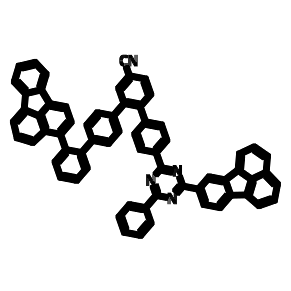 N#Cc1ccc(-c2ccc(-c3nc(-c4ccccc4)nc(-c4ccc5c(c4)-c4cccc6cccc-5c46)n3)cc2)c(-c2ccc(-c3ccccc3-c3ccc4c5c(cccc35)-c3ccccc3-4)cc2)c1